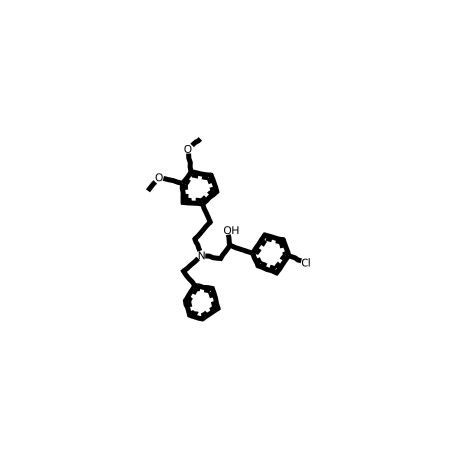 COc1ccc(CCN(Cc2ccccc2)CC(O)c2ccc(Cl)cc2)cc1OC